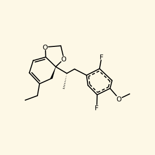 CCC1=CC=C2OCO[C@@]2([C@@H](C)Cc2cc(F)c(OC)cc2F)C1